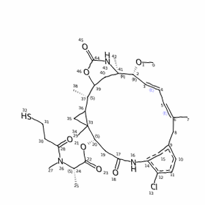 CO[C@@H]1/C=C/C=C(\C)Cc2ccc(Cl)c(c2)NC(=O)C[C@H](OC(=O)[C@H](C)N(C)C(=O)CCS)C2(C)CC2[C@H](C)C2C[C@@]1(C)NC(=O)O2